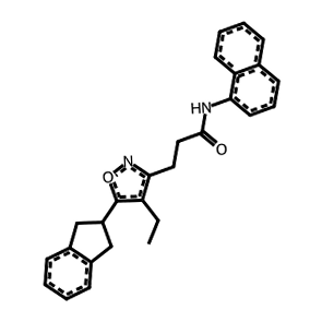 CCc1c(CCC(=O)Nc2cccc3ccccc23)noc1C1Cc2ccccc2C1